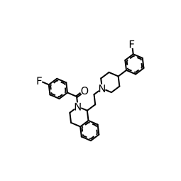 O=C(c1ccc(F)cc1)N1CCc2ccccc2C1CCN1CCC(c2cccc(F)c2)CC1